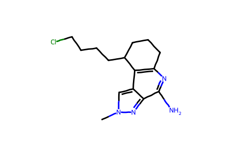 Cn1cc2c3c(nc(N)c2n1)CCCC3CCCCCl